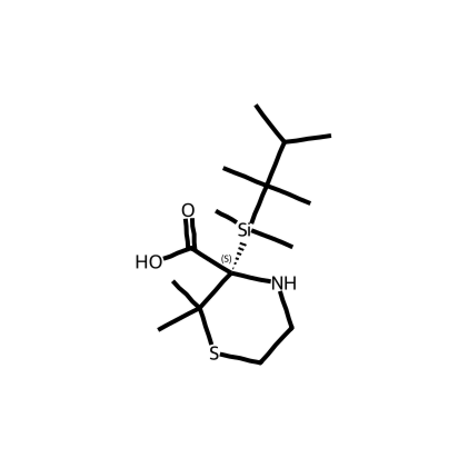 CC(C)C(C)(C)[Si](C)(C)[C@]1(C(=O)O)NCCSC1(C)C